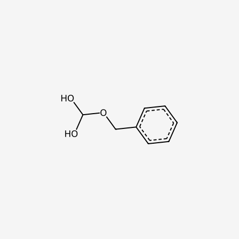 OC(O)OCc1ccccc1